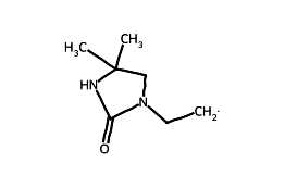 [CH2]CN1CC(C)(C)NC1=O